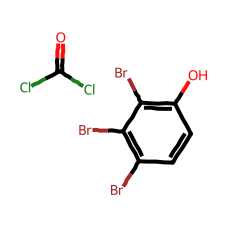 O=C(Cl)Cl.Oc1ccc(Br)c(Br)c1Br